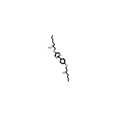 CCCCC[C@@H](O)COc1cnc(-c2ccc(OCC[C@H](F)CCCC)cc2)nc1